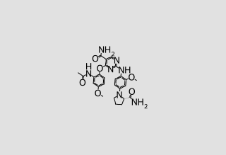 COc1ccc(Oc2nc(Nc3ccc(N4CCC[C@H]4C(N)=O)cc3OC)ncc2C(N)=O)c(NC(C)=O)c1